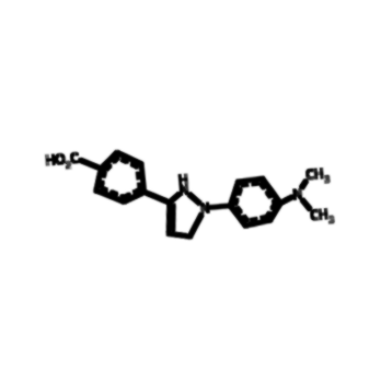 CN(C)c1ccc(N2CC=C(c3ccc(C(=O)O)cc3)N2)cc1